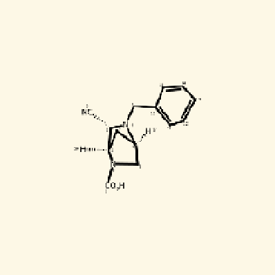 N#C[C@H]1[C@H]2C[C@H](CN2C(=O)O)N1Cc1ccccc1